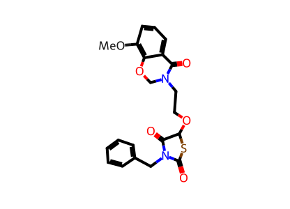 COc1cccc2c1OCN(CCOC1SC(=O)N(Cc3ccccc3)C1=O)C2=O